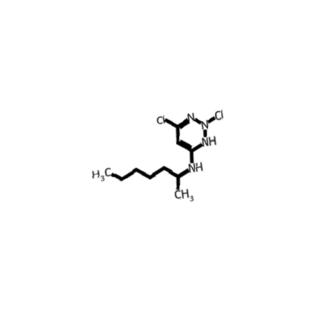 CCCCCC(C)NC1=CC(Cl)=NN(Cl)N1